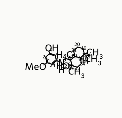 COc1cc(O)cc(NCC2[C@](C)(O)CC[C@H]3C(C)(C)CCC[C@]23C)c1